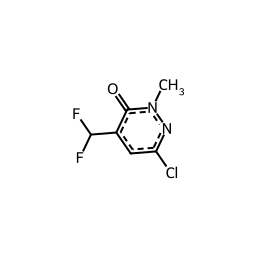 Cn1nc(Cl)cc(C(F)F)c1=O